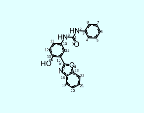 O=C(Nc1ccccc1)Nc1ccc(O)c(-c2nc3ccccc3o2)c1